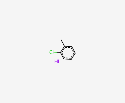 Cc1ccccc1Cl.I